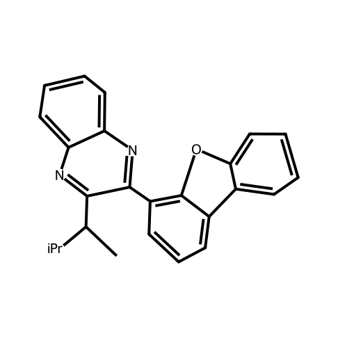 CC(C)C(C)c1nc2ccccc2nc1-c1cccc2c1oc1ccccc12